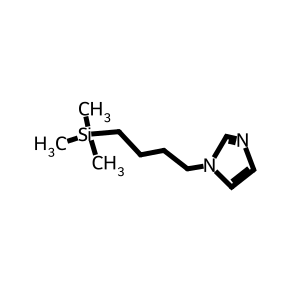 C[Si](C)(C)CCCCn1ccnc1